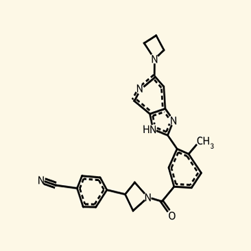 Cc1ccc(C(=O)N2CC(c3ccc(C#N)cc3)C2)cc1-c1nc2cc(N3CCC3)ncc2[nH]1